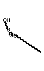 CCCCCCCCCCCCCCCCCCOC[C@@H]1C[C@@H](COCCCCCO)CO1